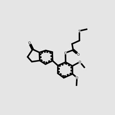 COc1ccc(-c2ccc3c(c2)CCC3=O)c(OC(=O)CCSC)c1OC